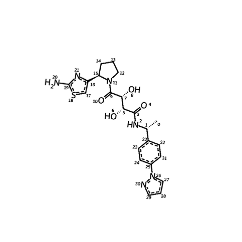 C[C@@H](NC(=O)[C@H](O)[C@@H](O)C(=O)N1CCC[C@@H]1c1csc(N)n1)c1ccc(-n2cccn2)cc1